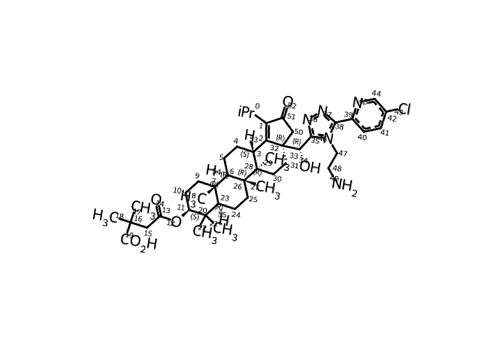 CC(C)C1=C2[C@H]3CC[C@@H]4[C@@]5(C)CC[C@H](OC(=O)CC(C)(C)C(=O)O)C(C)(C)[C@@H]5CC[C@@]4(C)[C@]3(C)CC[C@@]2([C@@H](O)c2nnc(-c3ccc(Cl)cn3)n2CCN)CC1=O